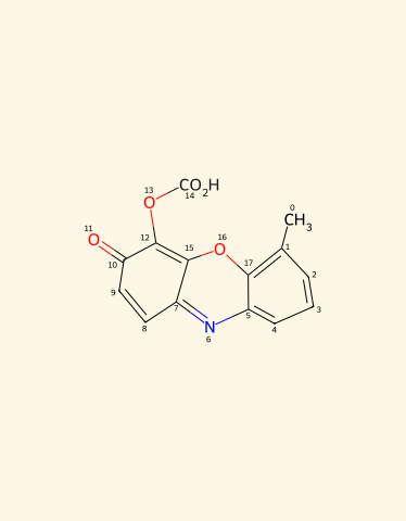 Cc1cccc2nc3ccc(=O)c(OC(=O)O)c-3oc12